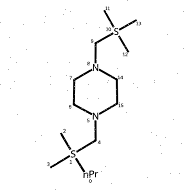 CCCS(C)(C)CN1CCN(CS(C)(C)C)CC1